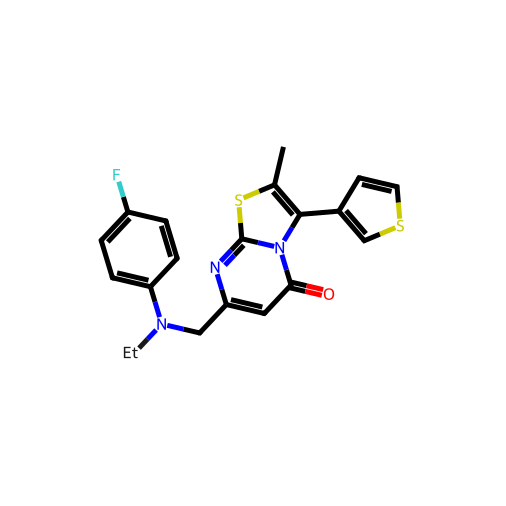 CCN(Cc1cc(=O)n2c(-c3ccsc3)c(C)sc2n1)c1ccc(F)cc1